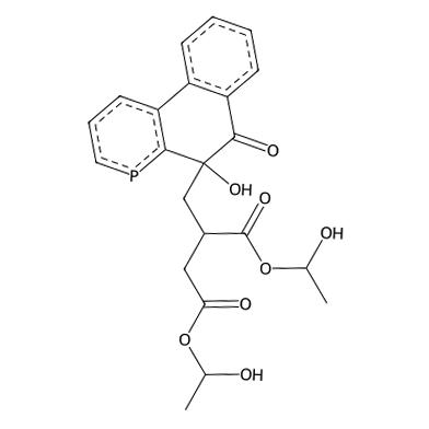 CC(O)OC(=O)CC(CC1(O)C(=O)c2ccccc2-c2cccpc21)C(=O)OC(C)O